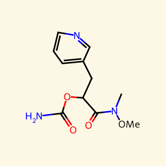 CON(C)C(=O)C(Cc1cccnc1)OC(N)=O